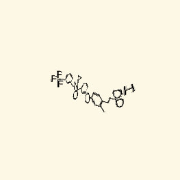 Cc1cc(Oc2cccc(C(=O)N(Cc3cccc(C(F)(F)F)c3)C3CC3)c2)ccc1CCC(=O)O